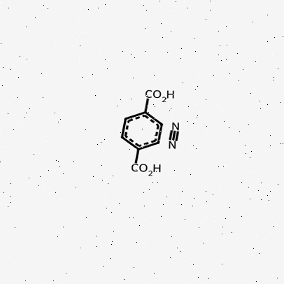 N#N.O=C(O)c1ccc(C(=O)O)cc1